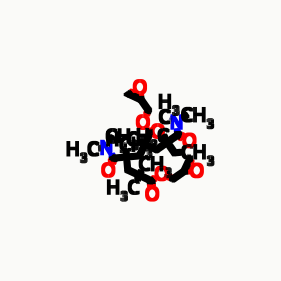 CCC(C)(CC(C)(CC(C)(CC(C)(C)C(=O)OCC1CO1)C(=O)N(C)C)C(=O)OCC1CO1)C(=O)N(C)C